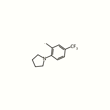 [CH2]c1cc(C(F)(F)F)ccc1N1CCCC1